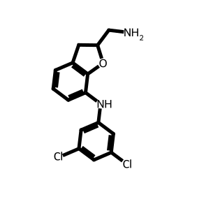 NCC1Cc2cccc(Nc3cc(Cl)cc(Cl)c3)c2O1